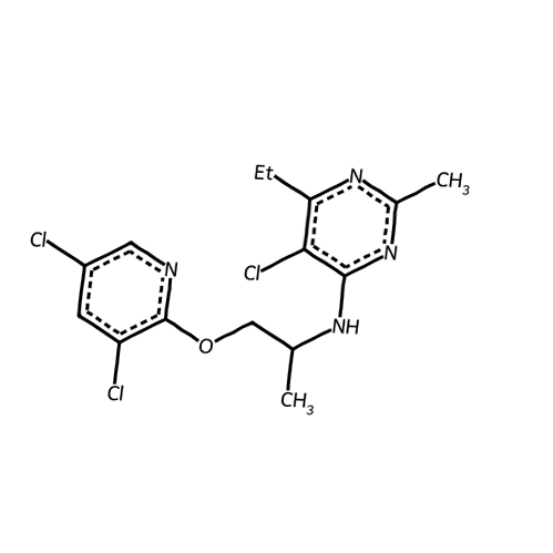 CCc1nc(C)nc(NC(C)COc2ncc(Cl)cc2Cl)c1Cl